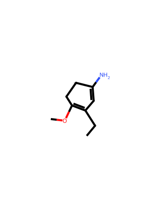 CCC1=C(OC)C[CH]C(N)=C1